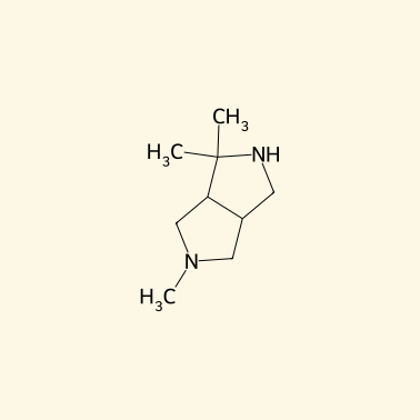 CN1CC2CNC(C)(C)C2C1